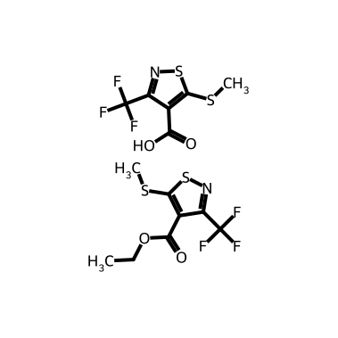 CCOC(=O)c1c(C(F)(F)F)nsc1SC.CSc1snc(C(F)(F)F)c1C(=O)O